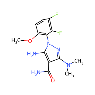 COc1ccc(F)c(F)c1-n1nc(N(C)C)c(C(N)=O)c1N